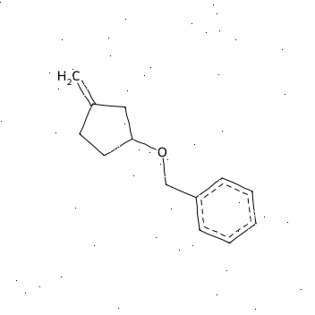 C=C1CCC(OCc2ccccc2)C1